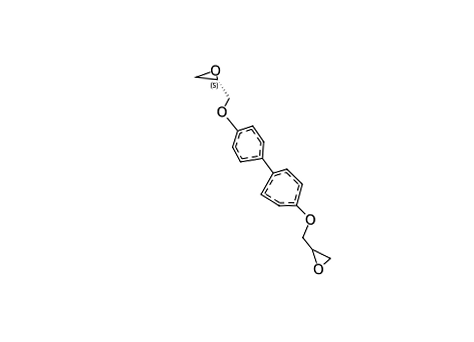 c1cc(-c2ccc(OC[C@@H]3CO3)cc2)ccc1OCC1CO1